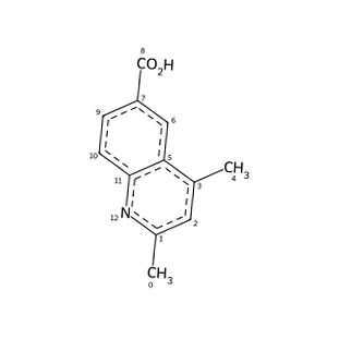 Cc1cc(C)c2cc(C(=O)O)ccc2n1